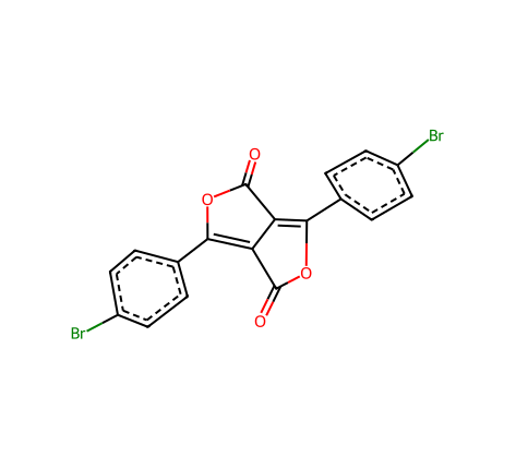 O=C1OC(c2ccc(Br)cc2)=C2C(=O)OC(c3ccc(Br)cc3)=C12